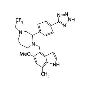 COc1cc(C)c2[nH]ccc2c1CN1CCCN(CC(F)(F)F)CC1c1ccc(-c2nn[nH]n2)cc1